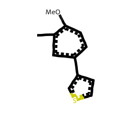 COc1ccc(-c2ccsc2)cc1C